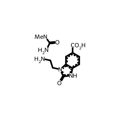 CNC(N)=O.NCCn1c(=O)[nH]c2ccc(C(=O)O)cc21